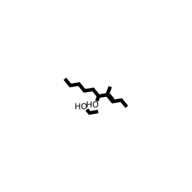 CC/C=C(\C)C(O)CCCCC.CCO